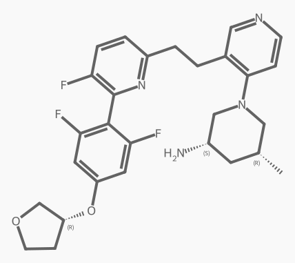 C[C@@H]1C[C@H](N)CN(c2ccncc2CCc2ccc(F)c(-c3c(F)cc(O[C@@H]4CCOC4)cc3F)n2)C1